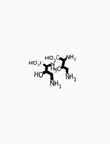 NCC(O)C(N)C(=O)O.NCC(O)C(N)C(=O)O